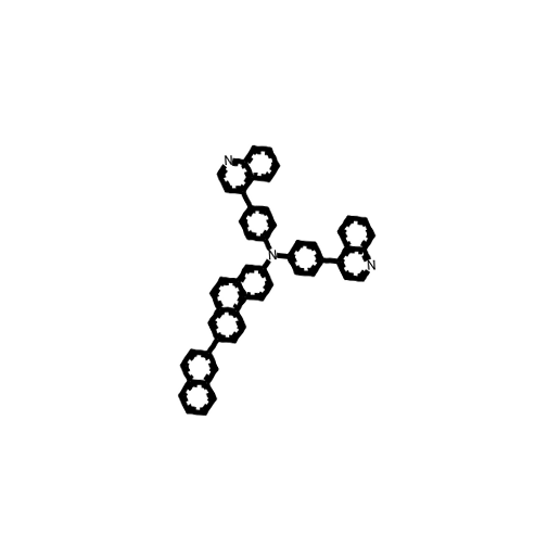 c1ccc2cc(-c3ccc4c(ccc5cc(N(c6ccc(-c7ccnc8ccccc78)cc6)c6ccc(-c7ccnc8ccccc78)cc6)ccc54)c3)ccc2c1